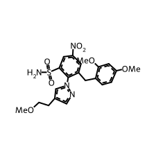 COCCc1cnn(-c2c(Cc3ccc(OC)cc3OC)cc([N+](=O)[O-])cc2S(N)(=O)=O)c1